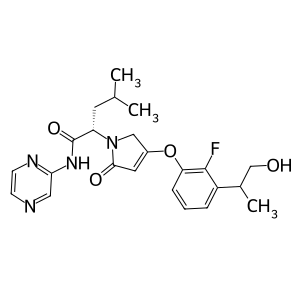 CC(C)C[C@@H](C(=O)Nc1cnccn1)N1CC(Oc2cccc(C(C)CO)c2F)=CC1=O